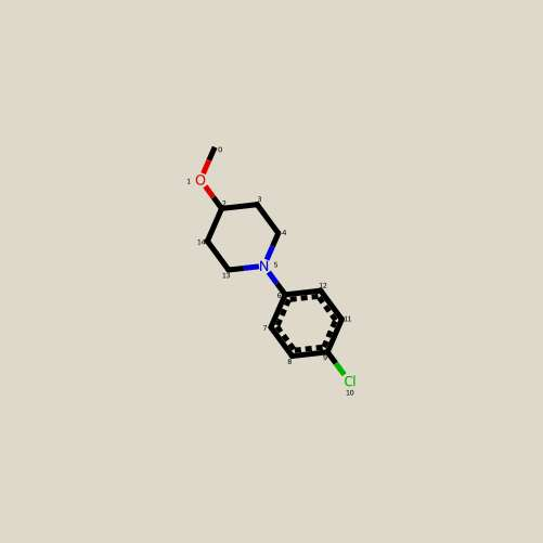 CO[C]1CCN(c2ccc(Cl)cc2)CC1